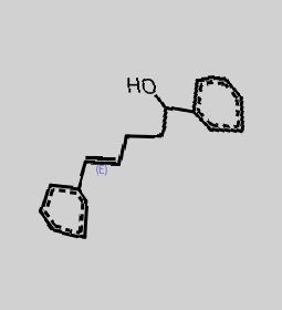 OC(CC/C=C/c1ccccc1)c1ccccc1